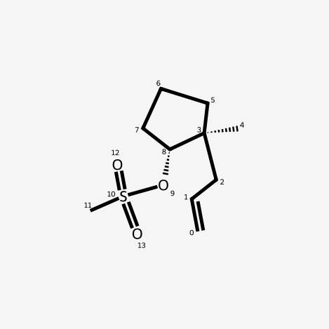 C=CC[C@]1(C)CCC[C@H]1OS(C)(=O)=O